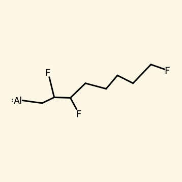 FCCCCCC(F)C(F)[CH2][Al]